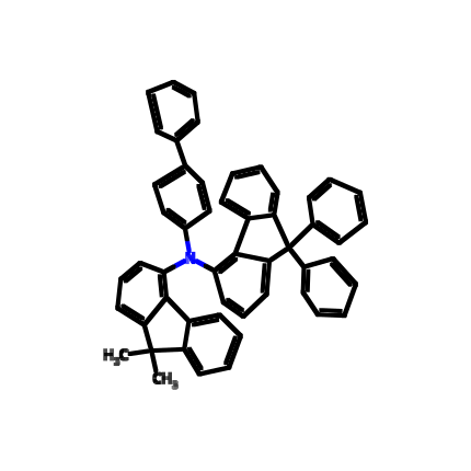 CC1(C)c2ccccc2-c2c(N(c3ccc(-c4ccccc4)cc3)c3cccc4c3-c3ccccc3C4(c3ccccc3)c3ccccc3)cccc21